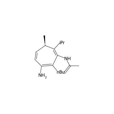 C=C(C)NC1=C(C(C)C)[C@H](C)C=CC(N)=C1CCCC